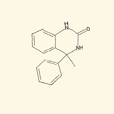 CC1(c2ccccc2)NC(=O)Nc2ccccc21